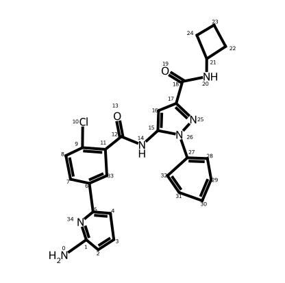 Nc1cccc(-c2ccc(Cl)c(C(=O)Nc3cc(C(=O)NC4CCC4)nn3-c3ccccc3)c2)n1